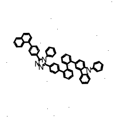 c1ccc(-n2c(-c3ccc(-c4ccccc4-c4ccccc4-c4ccc5c(c4)c4ccccc4n5-c4ccccc4)cc3)nnc2-c2ccc(-c3cccc4ccccc34)cc2)cc1